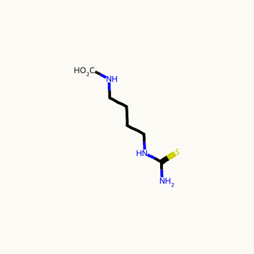 NC(=S)NCCCCNC(=O)O